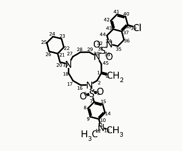 C=C1CN(S(=O)(=O)c2ccc(N(C)C)cc2)CCCN(CC2CCCCC2)CCCN(S(=O)(=O)N2CCc3c(Cl)cccc3C2)C1